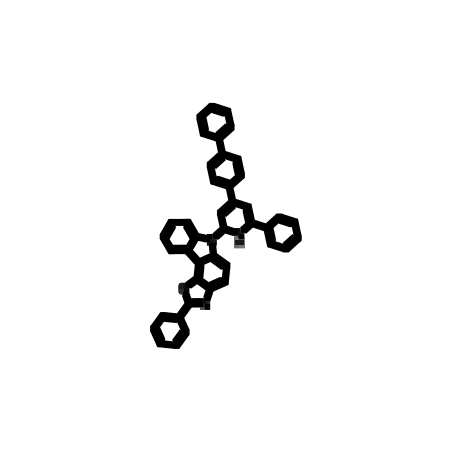 C1=C(c2ccc(-c3ccccc3)cc2)C=C(c2ccccc2)NC1n1c2ccccc2c2c3oc(-c4ccccc4)nc3ccc21